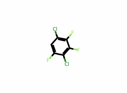 Fc1cc(Cl)c(F)c(F)c1Cl